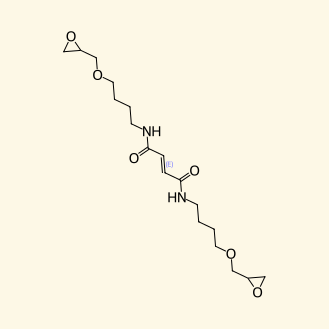 O=C(/C=C/C(=O)NCCCCOCC1CO1)NCCCCOCC1CO1